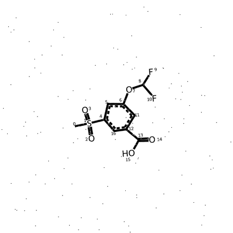 CS(=O)(=O)c1cc(OC(F)F)cc(C(=O)O)c1